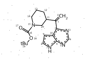 C=C(c1ncnc2[nH]ccc12)C1CCCN(C(=O)OC(C)(C)C)C1